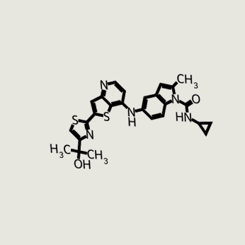 Cc1cc2cc(Nc3ccnc4cc(-c5nc(C(C)(C)O)cs5)sc34)ccc2n1C(=O)NC1CC1